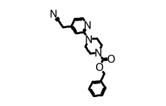 N#CCc1ccnc(N2CCN(C(=O)OCc3ccccc3)CC2)c1